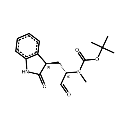 CN(C(=O)OC(C)(C)C)[C@H](C=O)C[C@H]1C(=O)Nc2ccccc21